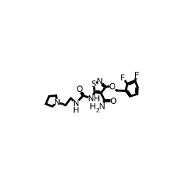 NC(=O)c1c(OCc2cccc(F)c2F)nsc1NC(=O)NCCN1CCCC1